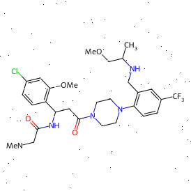 CNCC(=O)NC(CC(=O)N1CCN(c2ccc(C(F)(F)F)cc2CNC(C)COC)CC1)c1ccc(Cl)cc1OC